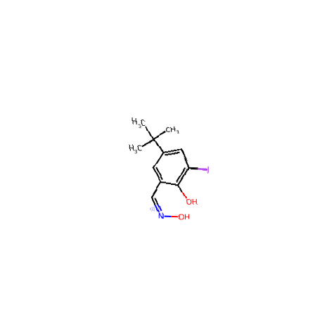 CC(C)(C)c1cc(I)c(O)c(/C=N\O)c1